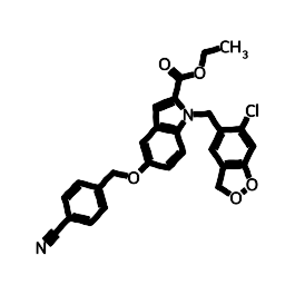 CCOC(=O)c1cc2cc(OCc3ccc(C#N)cc3)ccc2n1Cc1cc2c(cc1Cl)OOC2